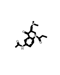 CCC(=O)N1CC(=CN(C)C)C(=O)c2cc(NC(C)=O)ccc21